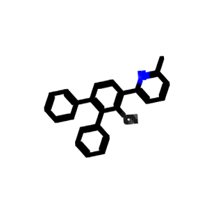 Cc1cccc(-c2ccc(-c3ccccc3)c(-c3ccccc3)c2C#N)n1